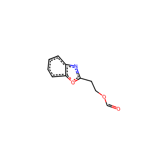 O=COCCc1nc2ccccc2o1